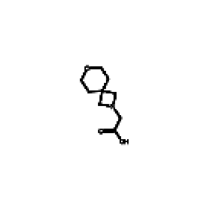 O=C(O)CN1CC2(CCOCC2)C1